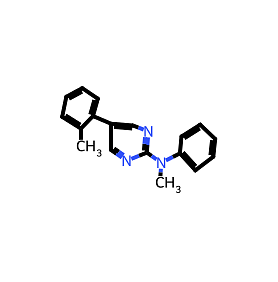 Cc1ccccc1-c1cnc(N(C)c2ccccc2)nc1